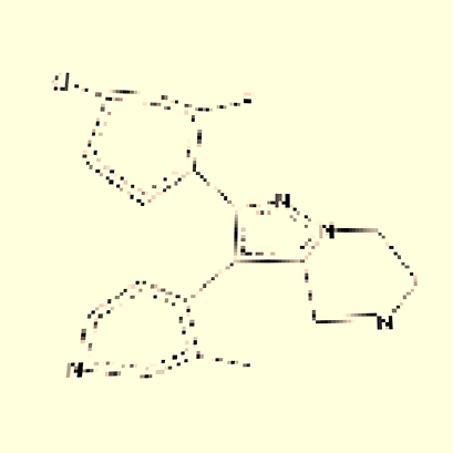 Cc1cnccc1-c1c(-c2ccc(Cl)cc2F)nn2c1C=NCC2